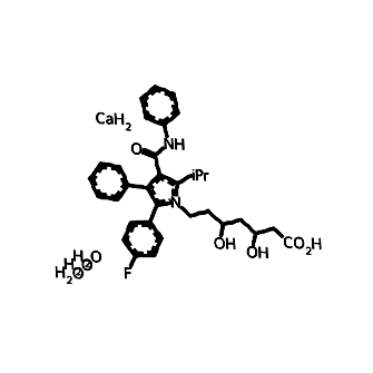 CC(C)c1c(C(=O)Nc2ccccc2)c(-c2ccccc2)c(-c2ccc(F)cc2)n1CCC(O)CC(O)CC(=O)O.O.O.O.[CaH2]